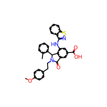 COc1ccc(CCN2C(=O)c3cc(C(=O)O)cc(Nc4nsc5ccccc45)c3C2c2ccccc2C)cc1